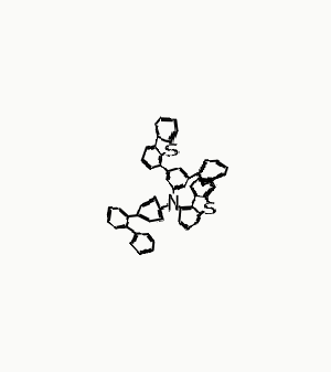 c1ccc(-c2cc(-c3cccc4c3sc3ccccc34)cc(N(c3ccc(-c4ccccc4-c4ccccc4)cc3)c3cccc4sc5ccccc5c34)c2)cc1